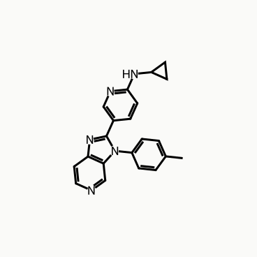 Cc1ccc(-n2c(-c3ccc(NC4CC4)nc3)nc3ccncc32)cc1